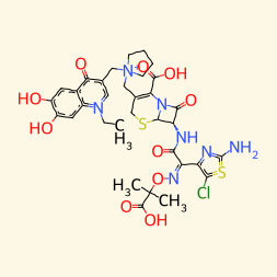 CCn1cc(C[N+]2(CC3=C(C(=O)O)N4C(=O)[C@@H](NC(=O)/C(=N\OC(C)(C)C(=O)O)c5nc(N)sc5Cl)C4SC3)CCCC2)c(=O)c2cc(O)c(O)cc21